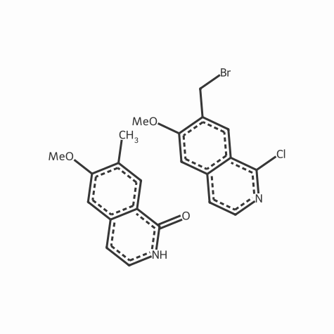 COc1cc2cc[nH]c(=O)c2cc1C.COc1cc2ccnc(Cl)c2cc1CBr